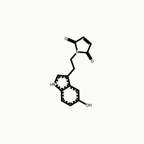 O=C1C=CC(=O)N1CCc1c[nH]c2ccc(O)cc12